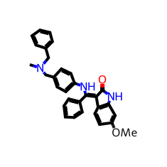 COc1ccc2c(c1)NC(=O)/C2=C(\Nc1ccc(CN(C)Cc2ccccc2)cc1)c1ccccc1